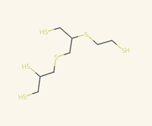 SCCSC(CS)CSCC(S)CS